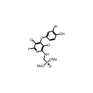 COP(=O)(CNc1nc(F)c(Cl)c(Oc2ccc(O)c(C(C)C)c2)c1Cl)OC